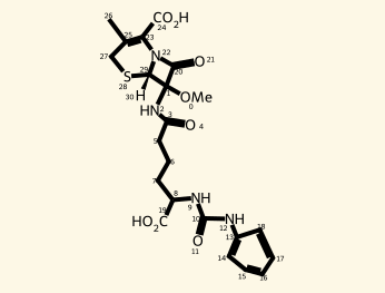 COC1(NC(=O)CCCC(NC(=O)Nc2ccccc2)C(=O)O)C(=O)N2C(C(=O)O)=C(C)CS[C@H]21